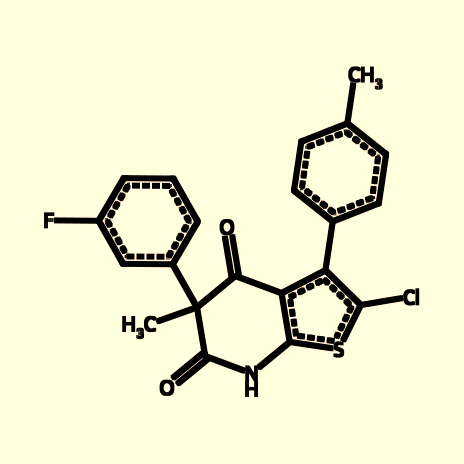 Cc1ccc(-c2c(Cl)sc3c2C(=O)C(C)(c2cccc(F)c2)C(=O)N3)cc1